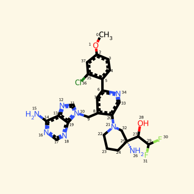 COc1ccc(-c2cc(Cn3cnc4c(N)ncnc43)c(N3CCC[C@](N)(C(O)C(F)F)C3)cn2)c(Cl)c1